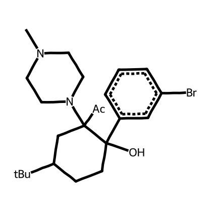 CC(=O)C1(N2CCN(C)CC2)CC(C(C)(C)C)CCC1(O)c1cccc(Br)c1